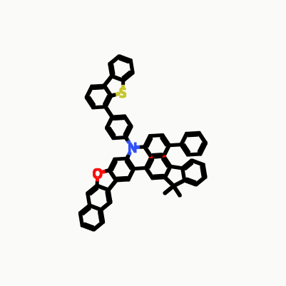 CC1(C)c2ccccc2-c2ccc(-c3cc4c(cc3N(c3ccc(-c5ccccc5)cc3)c3ccc(-c5cccc6c5sc5ccccc56)cc3)oc3cc5ccccc5cc34)cc21